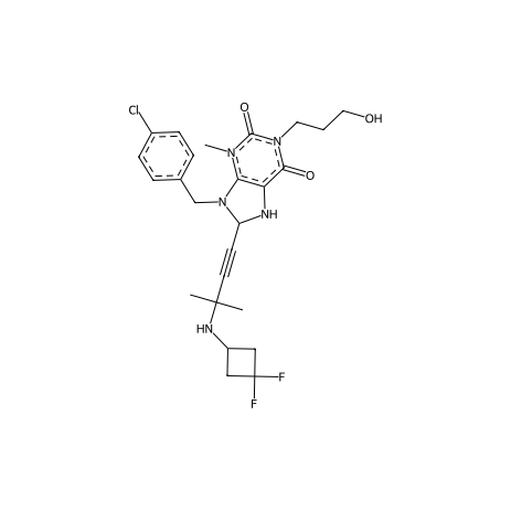 Cn1c2c(c(=O)n(CCCO)c1=O)NC(C#CC(C)(C)NC1CC(F)(F)C1)N2Cc1ccc(Cl)cc1